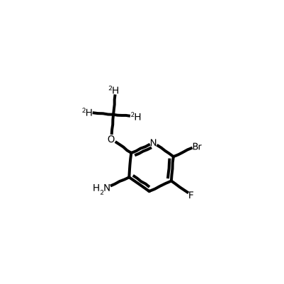 [2H]C([2H])([2H])Oc1nc(Br)c(F)cc1N